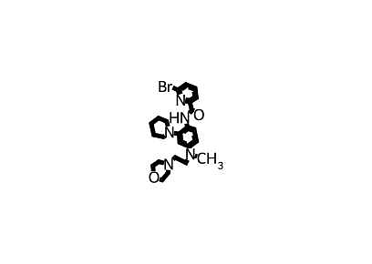 CN(CCN1CCOCC1)c1ccc(NC(=O)c2cccc(Br)n2)c(N2CCCCC2)c1